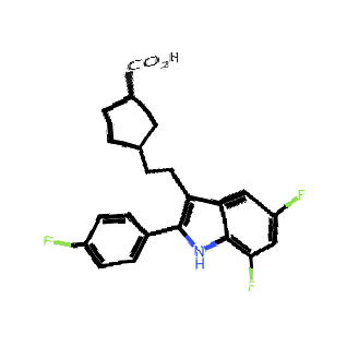 O=C(O)C1CCC(CCc2c(-c3ccc(F)cc3)[nH]c3c(F)cc(F)cc23)C1